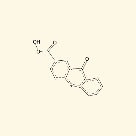 O=C(OO)c1ccc2sc3ccccc3c(=O)c2c1